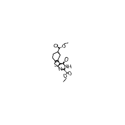 CCOC(=O)c1nc2sc3c(c2c(=O)[nH]1)CC(C(=O)OCC)CC3